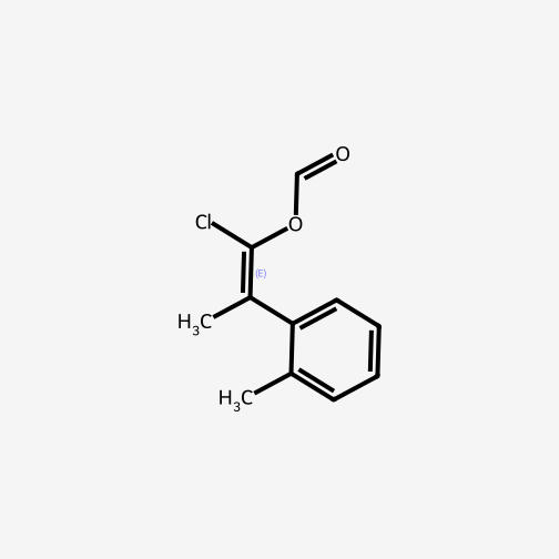 C/C(=C(\Cl)OC=O)c1ccccc1C